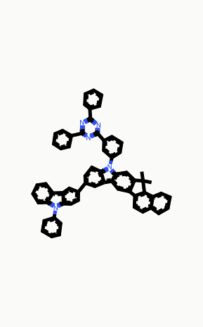 CC1(C)c2cc3c(cc2-c2ccc4ccccc4c21)c1cc(-c2ccc4c(c2)c2ccccc2n4-c2ccccc2)ccc1n3-c1cccc(-c2nc(-c3ccccc3)nc(-c3ccccc3)n2)c1